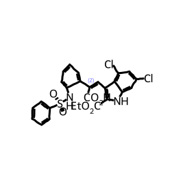 CCOC(=O)c1[nH]c2cc(Cl)cc(Cl)c2c1/C=C(\C(=O)O)c1ccccc1NS(=O)(=O)c1ccccc1